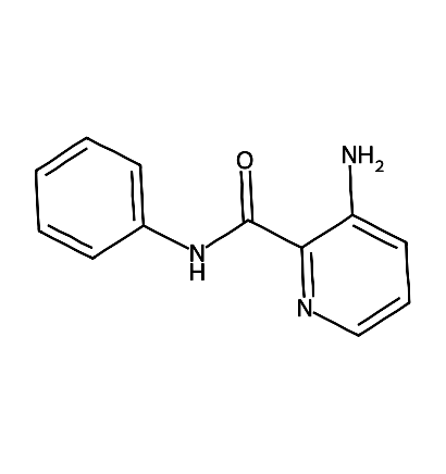 Nc1cccnc1C(=O)Nc1ccccc1